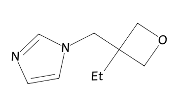 CCC1(Cn2ccnc2)COC1